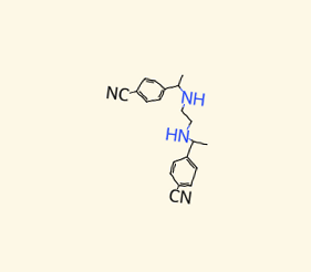 CC(NCCNC(C)c1ccc(C#N)cc1)c1ccc(C#N)cc1